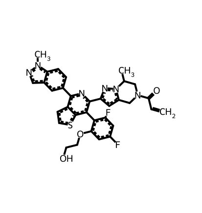 C=CC(=O)N1Cc2cc(-c3nc(-c4ccc5c(cnn5C)c4)c4ccsc4c3-c3c(F)cc(F)cc3OCCO)nn2C(C)C1